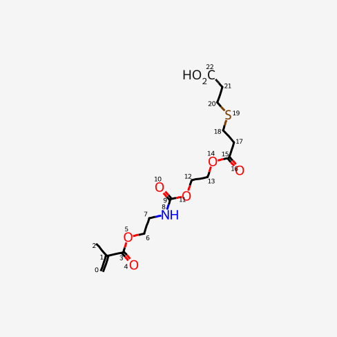 C=C(C)C(=O)OCCNC(=O)OCCOC(=O)CCSCCC(=O)O